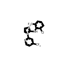 FC(F)(F)c1ccnc(-n2ccnc2Nc2c(Cl)cccc2C(F)(F)F)c1